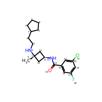 C[C@]1(NCCC2CCCC2)C[C@H](NC(=O)c2cc(F)cc(Cl)c2)C1